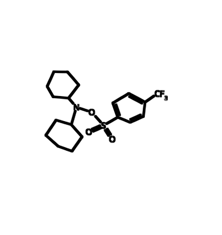 O=S(=O)(ON(C1CCCCC1)C1CCCCC1)c1ccc(C(F)(F)F)cc1